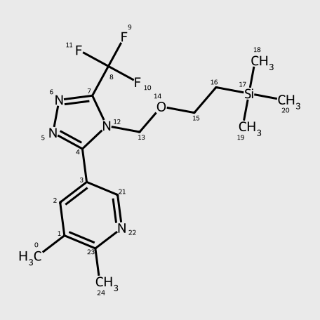 Cc1cc(-c2nnc(C(F)(F)F)n2COCC[Si](C)(C)C)cnc1C